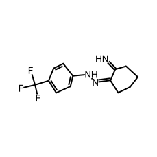 N=C1CCCC/C1=N/Nc1ccc(C(F)(F)F)cc1